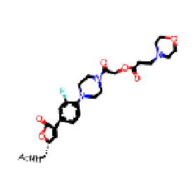 CC(=O)NC[C@H]1C=C(c2ccc(N3CCN(C(=O)COC(=O)CCN4CCOCC4)CC3)c(F)c2)C(=O)O1